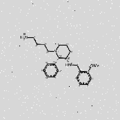 COc1ccccc1CN[C@H]1CCCN(CCCCN)[C@H]1c1ccccc1